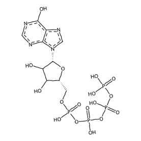 O=P(O)(O)OP(=O)(O)OP(=O)(O)OP(=O)(O)OC[C@H]1O[C@@H](n2cnc3c(O)ncnc32)C(O)C1O